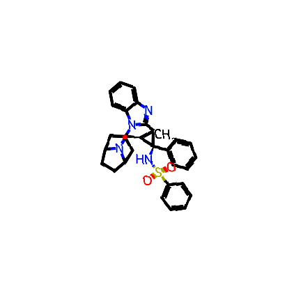 Cc1nc2ccccc2n1C1CC2CCC(C1)N2C[C@H]1C[C@]1(NS(=O)(=O)c1ccccc1)c1ccccc1